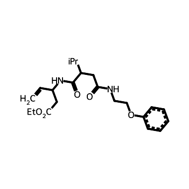 C=CC(CC(=O)OCC)NC(=O)C(CC(=O)NCCOc1ccccc1)C(C)C